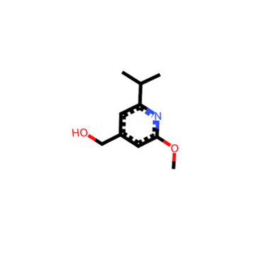 COc1cc(CO)cc(C(C)C)n1